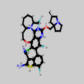 C[C@H]1CN2CCCC2(COc2nc3c4c(c(Cl)c(-c5ccc(F)c6sc(N)c(C#N)c56)c(F)c4n2)OCCC2CCCCC(C(F)F)N32)C1